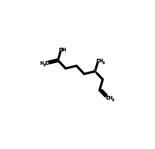 C=CCN(C)CCCC(=C)O